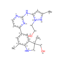 CC(C)(C)c1cc(Nc2nccc(-c3cc(C#N)c4c(c3)C(C)(CO)CN4)n2)n(CCO)n1